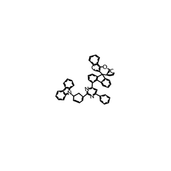 C1=CC(n2c3ccccc3c3ccccc32)CC(c2nc(-c3ccccc3)cc(-c3cccc4c3-c3ccccc3C43c4ccccc4Oc4c3ccc3ccccc43)n2)=C1